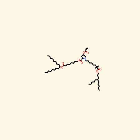 C=CC(=O)O[C@H]1C[C@@H](C(=O)OCCCCCCCC(=O)OC(CCCCCCCC)CCCCCCCC)N(CCCCCCC(C)(C)C(=O)OCCCC(CCCCC)CCCCC)C1